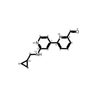 O=Cc1cccc(-c2ccnc(NCC3CC3)c2)n1